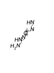 CNCCN(C)C[C@H](C)O[C@H](C)N1CNC(CN)C1